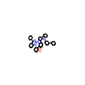 c1ccc(-c2cccc(-n3c4ccccc4c4ccc5c(c6ccc7oc8ccccc8c7c6n5-c5nc(-c6ccccc6)c6ccccc6n5)c43)c2)cc1